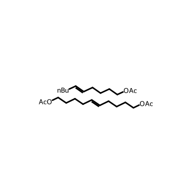 CC(=O)OCCCC/C=C/CCCCOC(C)=O.CCCC/C=C/CCCCOC(C)=O